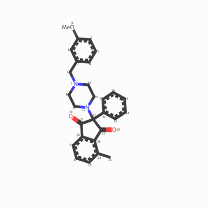 COc1cccc(CN2CCN(C3(c4ccccc4)C(=O)c4cccc(C)c4C3=O)CC2)c1